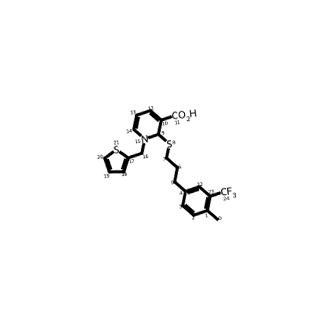 Cc1ccc(CCCSC2C(C(=O)O)=CC=CN2Cc2cccs2)cc1C(F)(F)F